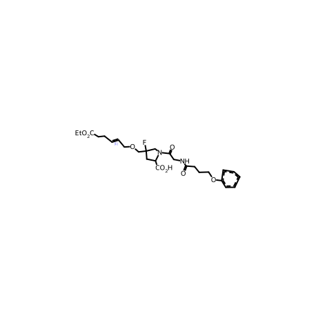 CCOC(=O)CC/C=C/COCC1(F)CC(C(=O)O)N(C(=O)CNC(=O)CCCOc2ccccc2)C1